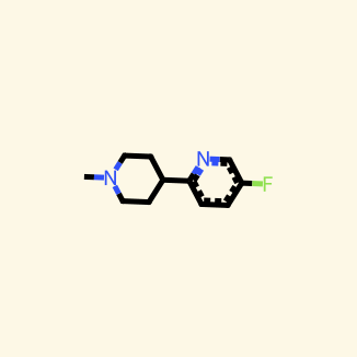 CN1CCC(c2ccc(F)cn2)CC1